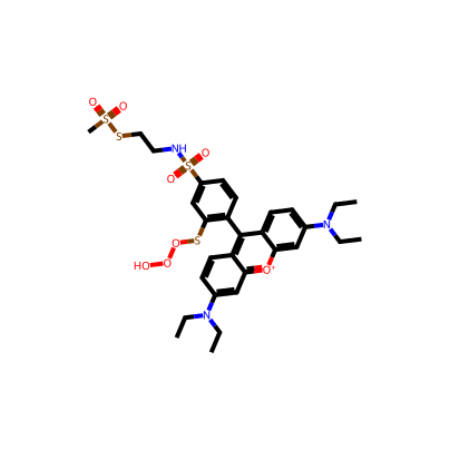 CCN(CC)c1ccc2c(-c3ccc(S(=O)(=O)NCCSS(C)(=O)=O)cc3SOOO)c3ccc(N(CC)CC)cc3[o+]c2c1